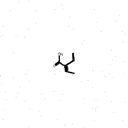 C/C=C(\CC)C(=O)O